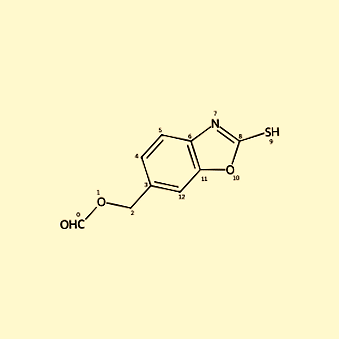 O=COCc1ccc2nc(S)oc2c1